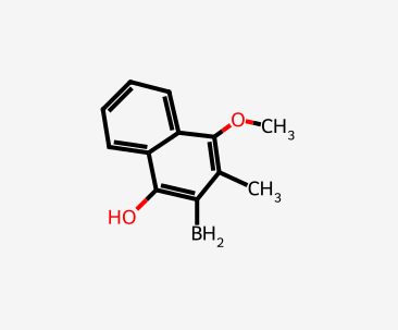 Bc1c(C)c(OC)c2ccccc2c1O